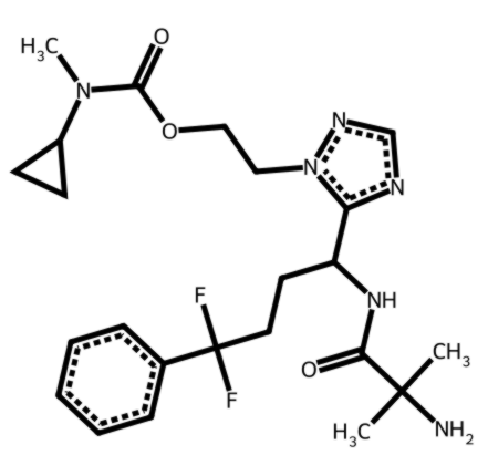 CN(C(=O)OCCn1ncnc1C(CCC(F)(F)c1ccccc1)NC(=O)C(C)(C)N)C1CC1